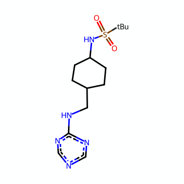 CC(C)(C)S(=O)(=O)NC1CCC(CNc2ncncn2)CC1